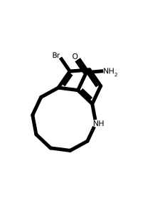 NC(=O)c1c2ccc(Br)c1CCCCCCN2